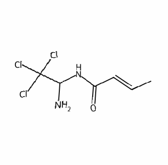 C/C=C/C(=O)NC(N)C(Cl)(Cl)Cl